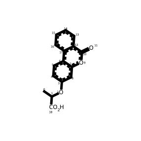 CC(Oc1ccc2c(c1)oc(=O)c1ccccc12)C(=O)O